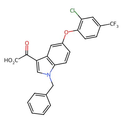 O=C(O)C(=O)c1cn(Cc2ccccc2)c2ccc(Oc3ccc(C(F)(F)F)cc3Cl)cc12